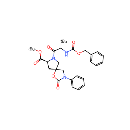 CC(C)(C)OC(=O)[C@@H]1C[C@]2(CN(c3ccccc3)C(=O)O2)CN1C(=O)[C@@H](NC(=O)OCc1ccccc1)C(C)(C)C